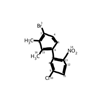 Cc1c(Br)ccc(-c2cc(Cl)ccc2[N+](=O)[O-])c1C